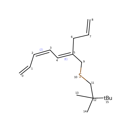 C=C/C=C\C=C(/CC=C)CSCC(C)(C)C(C)(C)C